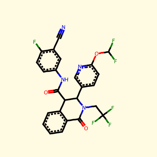 N#Cc1cc(NC(=O)C2c3ccccc3C(=O)N(CC(F)(F)F)C2c2ccc(OC(F)F)nc2)ccc1F